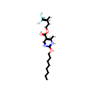 CCCCCCCCOc1ncc(C(=O)OCCC(C)=C(F)F)c(C)n1